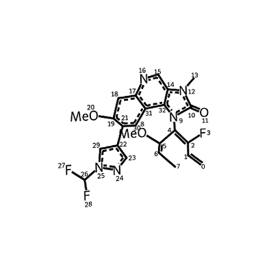 C=C/C(F)=C(\C(=C/C)OC)n1c(=O)n(C)c2cnc3cc(OC)c(-c4cnn(C(F)F)c4)cc3c21